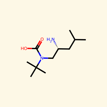 CC(C)C[C@@H](N)CN(C(=O)O)C(C)(C)C